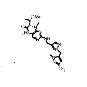 CO[C@@H](C)[C@H]1C(=O)Nc2cnc(NCc3cnn(Cc4cc(C(F)(F)F)nn4C)c3)nc2N1C